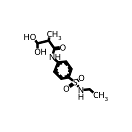 CCNS(=O)(=O)c1ccc(NC(=O)C(C)C(O)O)cc1